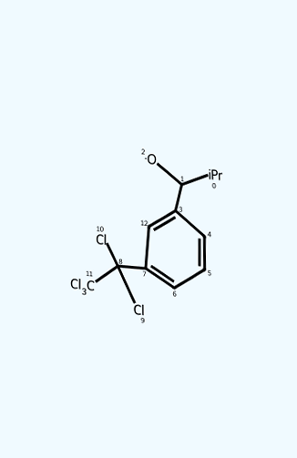 CC(C)C([O])c1cccc(C(Cl)(Cl)C(Cl)(Cl)Cl)c1